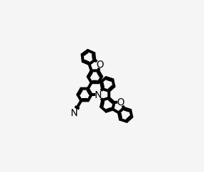 N#Cc1ccc(-c2ccc3oc4ccccc4c3c2)c(-n2c3ccccc3c3c4oc5ccccc5c4ccc32)c1